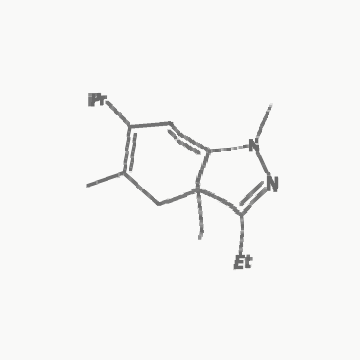 CCC1=NN(C)C2=CC(C(C)C)=C(C)CC21C